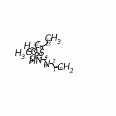 C=CCN=CNP(=S)(OC)SC(C)CC